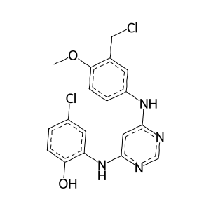 COc1ccc(Nc2cc(Nc3cc(Cl)ccc3O)ncn2)cc1CCl